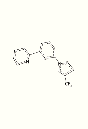 FC(F)(F)c1cnn(-c2cccc(-c3ccccn3)n2)c1